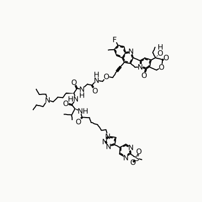 CCCN(CCC)CCCC[C@H](NC(=O)[C@@H](NC(=O)CCCCCn1cc(-c2cnc(S(C)(=O)=O)nc2)nn1)C(C)C)C(=O)NCC(=O)NCOCC#Cc1c2c(nc3cc(F)c(C)cc13)-c1cc3c(c(=O)n1C2)COC(=O)[C@]3(O)CC